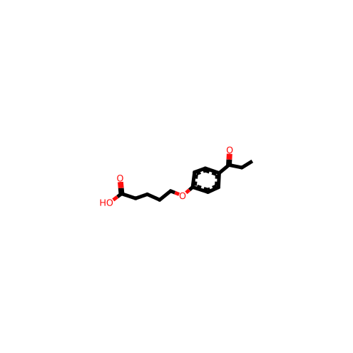 CCC(=O)c1ccc(OCCCCC(=O)O)cc1